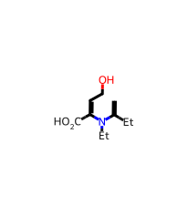 C=C(CC)N(CC)/C(=C\CO)C(=O)O